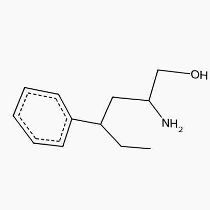 CCC(CC(N)CO)c1ccccc1